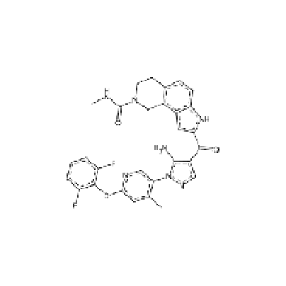 CNC(=O)N1CCc2ccc3[nH]c(C(=O)c4cnn(-c5cnc(Oc6c(F)cccc6F)cc5C)c4N)cc3c2C1